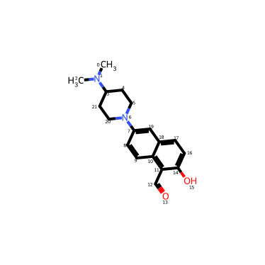 CN(C)C1CCN(c2ccc3c(C=O)c(O)ccc3c2)CC1